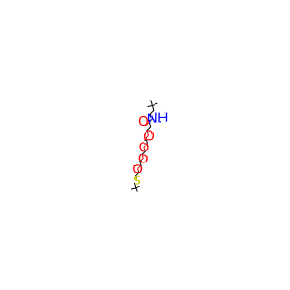 CC(C)(C)CCNC(=O)CCOCCOCCOCCOCCSCC(C)(C)C